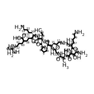 C#CC[C@H](NC(=O)[C@@H]1CCCN1C(=O)[C@@H](CCCN)NC(=O)CNC(=O)[C@H](C)NC(=O)[C@@H](NC(=O)[C@@H](N)CCCCN)[C@@H](O)CN)C(=O)N[C@@H](CCCCN)C(=O)CCC(CCCNC(=N)N)C(=O)O